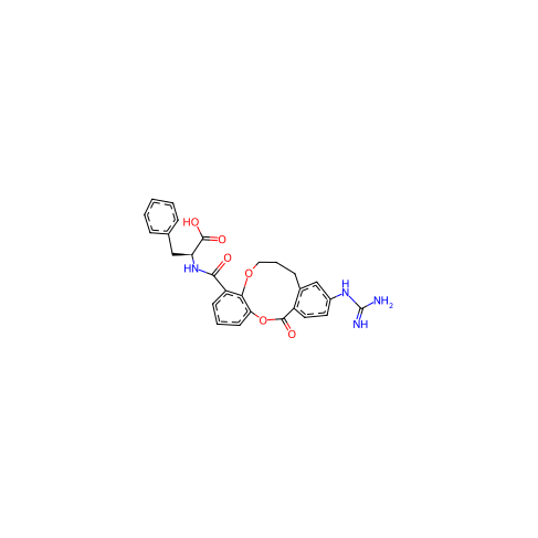 N=C(N)Nc1ccc2c(c1)CCCOc1c(cccc1C(=O)N[C@@H](Cc1ccccc1)C(=O)O)OC2=O